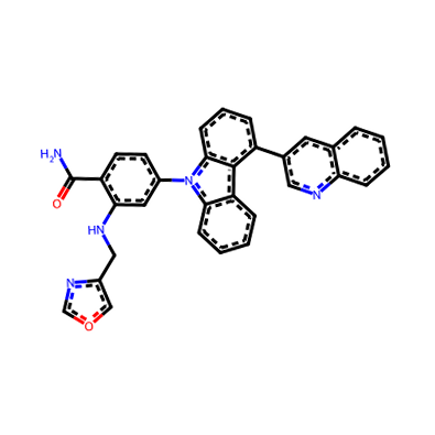 NC(=O)c1ccc(-n2c3ccccc3c3c(-c4cnc5ccccc5c4)cccc32)cc1NCc1cocn1